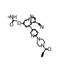 C#CC(=O)N1CCN(c2ccc(-c3cc(OCC(=O)NC)cn4ncc(C#N)c34)cn2)CC1